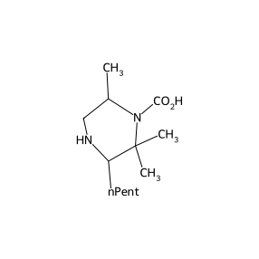 CCCCCC1NCC(C)N(C(=O)O)C1(C)C